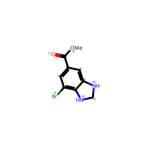 COC(=O)c1cc(Br)c2c(c1)NCN2